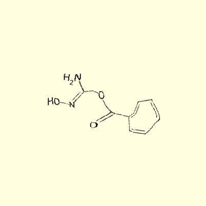 NC(=NO)OC(=O)c1ccccc1